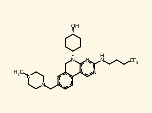 CN1CCN(Cc2ccc3c(c2)CN([C@H]2CC[C@H](O)CC2)c2nc(NCCCC(F)(F)F)ncc2-3)CC1